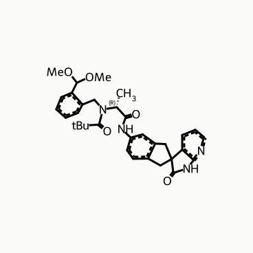 COC(OC)c1ccccc1CN(C(=O)C(C)(C)C)[C@H](C)C(=O)Nc1ccc2c(c1)CC1(C2)C(=O)Nc2ncccc21